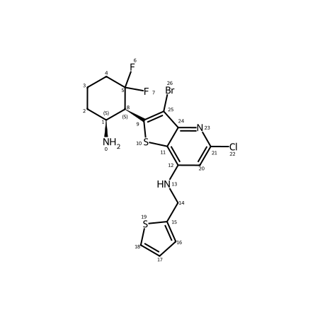 N[C@H]1CCCC(F)(F)[C@H]1c1sc2c(NCc3cccs3)cc(Cl)nc2c1Br